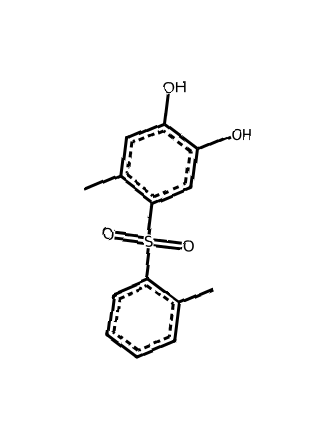 Cc1ccccc1S(=O)(=O)c1cc(O)c(O)cc1C